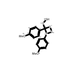 COc1ccc(P2SSC2(SS)c2ccc(OC)cc2)cc1